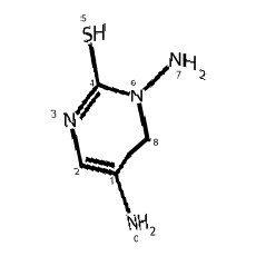 NC1=CN=C(S)N(N)C1